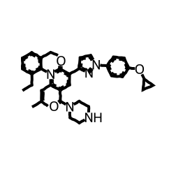 CCc1cccc(CC)c1-n1c(C=C(C)C)c(C(=O)N2CCNCC2)cc(-c2ccn(-c3ccc(OC4CC4)cc3)n2)c1=O